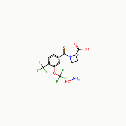 NO.O=C(O)[C@H]1CCN1C(=S)c1ccc(C(F)(F)F)c(OC(F)(F)F)c1